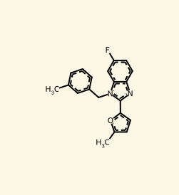 Cc1cccc(Cn2c(-c3ccc(C)o3)nc3ccc(F)cc32)c1